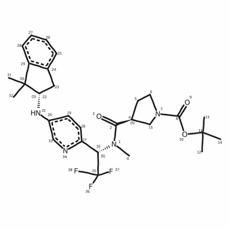 CN(C(=O)[C@H]1CCN(C(=O)OC(C)(C)C)C1)[C@@H](c1ccc(N[C@H]2Cc3ccccc3C2(C)C)cn1)C(F)(F)F